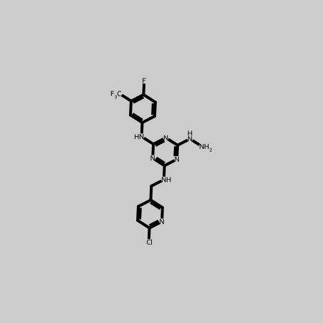 NNc1nc(NCc2ccc(Cl)nc2)nc(Nc2ccc(F)c(C(F)(F)F)c2)n1